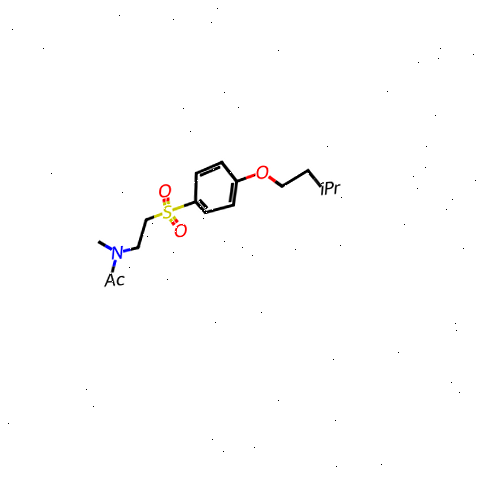 CC(=O)N(C)CCS(=O)(=O)c1ccc(OCCC(C)C)cc1